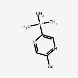 CC(=O)c1cnc([N+](C)(C)C)cn1